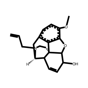 C=CCN1CC[C@]23c4c5ccc(OC)c4OC2C(O)C=CC3[C@H]1C5